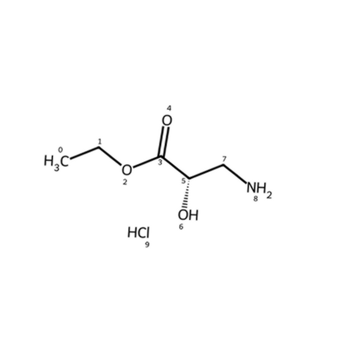 CCOC(=O)[C@@H](O)CN.Cl